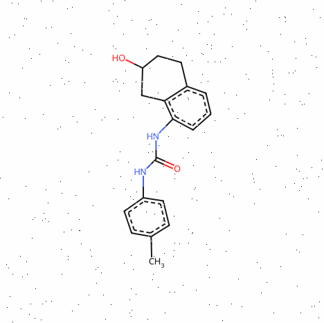 Cc1ccc(NC(=O)Nc2cccc3c2CC(O)CC3)cc1